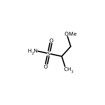 COCC(C)S(N)(=O)=O